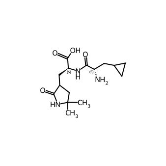 CC1(C)CC(C[C@H](NC(=O)[C@@H](N)CC2CC2)C(=O)O)C(=O)N1